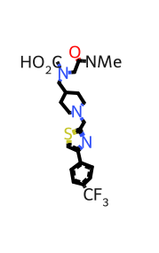 CNC(=O)CN(CC1CCN(Cc2nc(-c3ccc(C(F)(F)F)cc3)cs2)CC1)C(=O)O